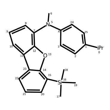 CC(C)c1ccc(N(C)c2cccc3c2oc2c([Si](C)(C)C)cccc23)cc1